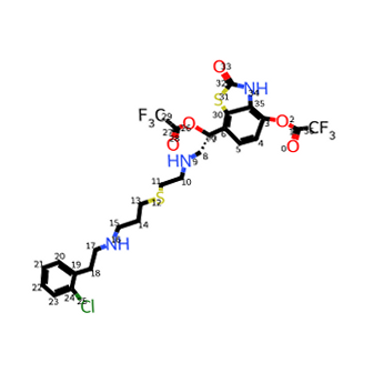 O=C(Oc1ccc([C@H](CNCCSCCCNCCc2ccccc2Cl)OC(=O)C(F)(F)F)c2sc(=O)[nH]c12)C(F)(F)F